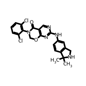 CC1(C)NCc2cc(Nc3ncc4c(n3)OCN(c3c(Cl)cccc3Cl)C4=O)ccc21